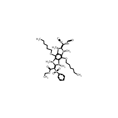 [C-]#[N+]C(NC=O)=C1N(C)c2c(OCCCCCC)c3c(c(OCCCCCC)c2N1C)N(C)C(=C(C(=O)OCC)S(=O)(=O)c1ccccc1)N3C